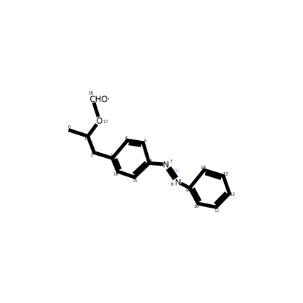 CC(Cc1ccc(/N=N/c2ccccc2)cc1)O[C]=O